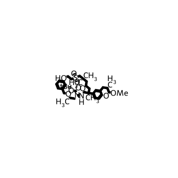 COC(=O)[C@H](C)Cc1cccc([C@@](C)(CCCC(C)(C)CS(=O)(=O)CCO)C(=O)NN(CC(C)OCc2ccccc2)C(=O)OC(C)(C)C)c1